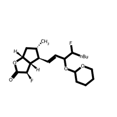 CCCCC(F)C(/C=C/[C@H]1[C@H]2[C@@H](C[C@@H]1C)OC(=O)[C@@H]2F)OC1CCCCO1